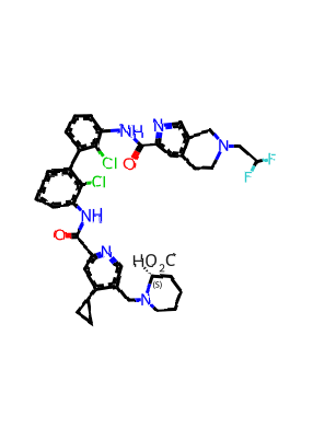 O=C(Nc1cccc(-c2cccc(NC(=O)c3cc(C4CC4)c(CN4CCCC[C@H]4C(=O)O)cn3)c2Cl)c1Cl)c1cc2c(cn1)CN(CC(F)F)CC2